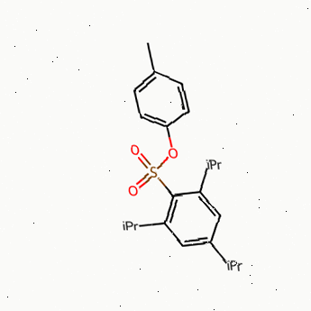 Cc1ccc(OS(=O)(=O)c2c(C(C)C)cc(C(C)C)cc2C(C)C)cc1